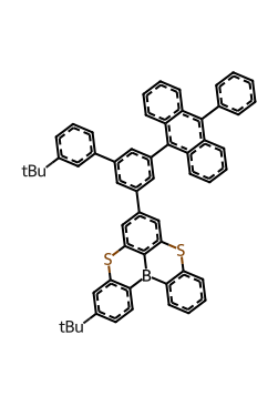 CC(C)(C)c1cccc(-c2cc(-c3cc4c5c(c3)Sc3cc(C(C)(C)C)ccc3B5c3ccccc3S4)cc(-c3c4ccccc4c(-c4ccccc4)c4ccccc34)c2)c1